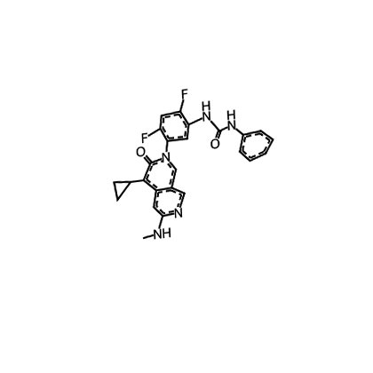 CNc1cc2c(C3CC3)c(=O)n(-c3cc(NC(=O)Nc4ccccc4)c(F)cc3F)cc2cn1